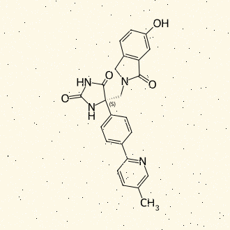 Cc1ccc(-c2ccc([C@@]3(CN4Cc5ccc(O)cc5C4=O)NC(=O)NC3=O)cc2)nc1